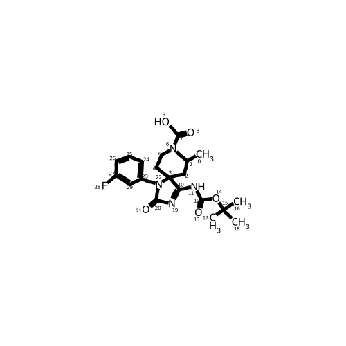 CC1CC2(CCN1C(=O)O)C(NC(=O)OC(C)(C)C)=NC(=O)N2c1cccc(F)c1